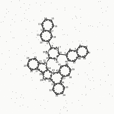 c1ccc2cc(-c3nc(-c4ccc5ccccc5c4)nc(-n4c5ccccc5c5nc6c7ccccc7c7ccccc7n6c54)n3)ccc2c1